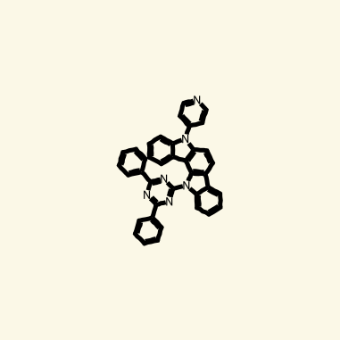 c1ccc(-c2nc(-c3ccccc3)nc(-n3c4ccccc4c4ccc5c(c6ccccc6n5-c5ccncc5)c43)n2)cc1